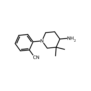 CC1(C)CN(c2ccccc2C#N)CCC1N